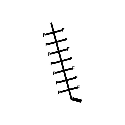 C=CC(F)(F)C(F)(F)C(F)(F)C(F)(F)C(F)(F)C(F)(F)C(C)(F)F